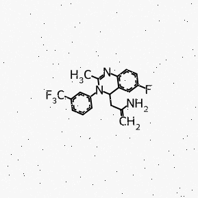 C=C(N)CC1c2cc(F)ccc2N=C(C)N1c1cccc(C(F)(F)F)c1